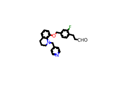 O=CCCc1ccc(COc2cccc3c2N(Cc2ccncc2)CCC3)cc1F